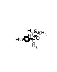 C[C@H](NC(=O)N(C)C)c1ccc(O)cc1